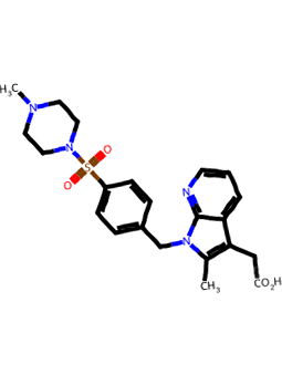 Cc1c(CC(=O)O)c2cccnc2n1Cc1ccc(S(=O)(=O)N2CCN(C)CC2)cc1